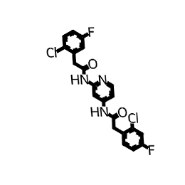 O=C(Cc1ccc(F)cc1Cl)Nc1ccnc(NC(=O)Cc2cc(F)ccc2Cl)c1